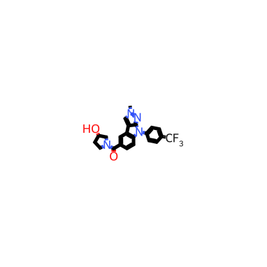 Cn1cc2c3cc(C(=O)N4CCC(O)C4)ccc3n(-c3ccc(C(F)(F)F)cc3)c2n1